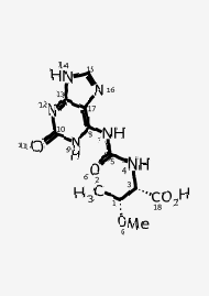 CO[C@H](C)[C@H](NC(=O)Nc1[nH]c(=O)nc2[nH]cnc12)C(=O)O